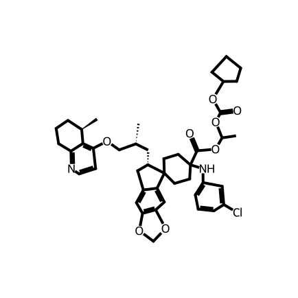 CC(OC(=O)OC1CCCC1)OC(=O)C1(Nc2cccc(Cl)c2)CCC2(CC1)c1cc3c(cc1C[C@@H]2C[C@@H](C)COc1ccnc2c1[C@H](C)CCC2)OCO3